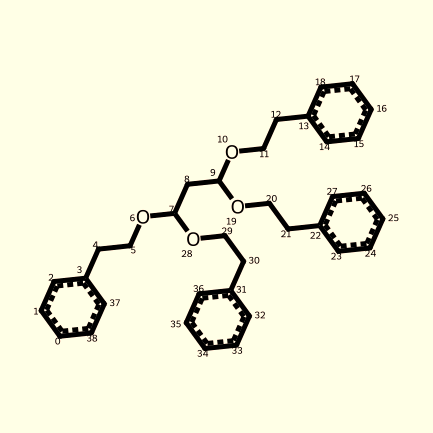 c1ccc(CCOC(CC(OCCc2ccccc2)OCCc2ccccc2)OCCc2ccccc2)cc1